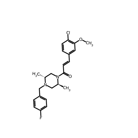 COc1cc(C=CC(=O)N2C[C@@H](C)N(Cc3ccc(F)cc3)C[C@@H]2C)ccc1Cl